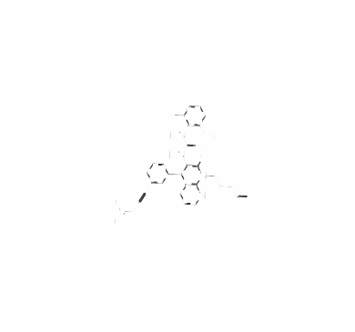 C=CCCCn1c(=O)c(NC(=O)Nc2c(C(C)C)cccc2C(C)C)c(-c2cccc(C#CCN(CC)CC)c2)c2cccnc21